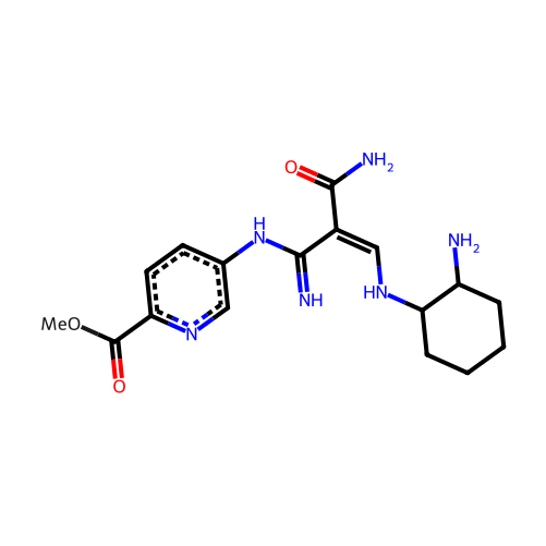 COC(=O)c1ccc(NC(=N)/C(=C\NC2CCCCC2N)C(N)=O)cn1